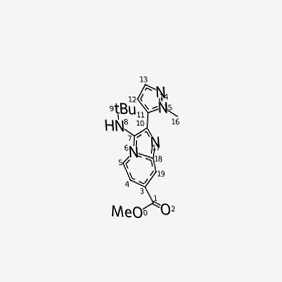 COC(=O)c1ccn2c(NC(C)(C)C)c(-c3ccnn3C)nc2c1